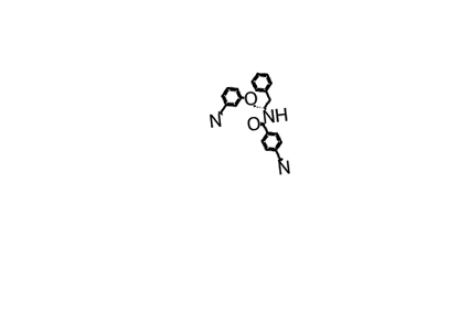 N#Cc1ccc(C(=O)N[C@H](COc2cccc(C#N)c2)Cc2ccccc2)cc1